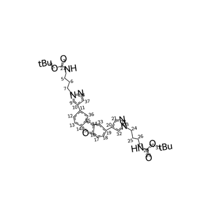 CC(C)(C)OC(=O)NCCCn1cc(-c2ccc3oc4ccc(-c5cnn(CCCNC(=O)OC(C)(C)C)c5)cc4c3c2)cn1